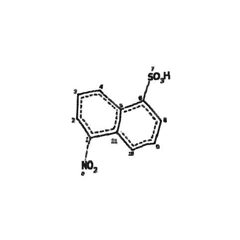 O=[N+]([O-])c1cccc2c(S(=O)(=O)O)cccc12